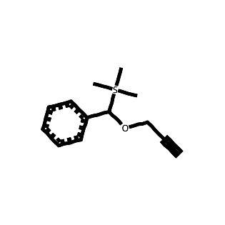 C#CCOC(c1ccccc1)S(C)(C)C